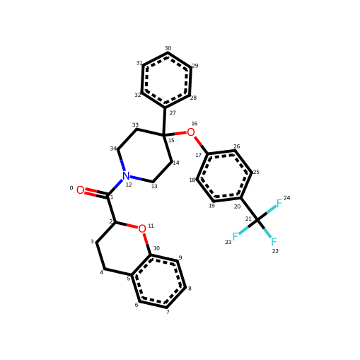 O=C(C1CCc2ccccc2O1)N1CCC(Oc2ccc(C(F)(F)F)cc2)(c2ccccc2)CC1